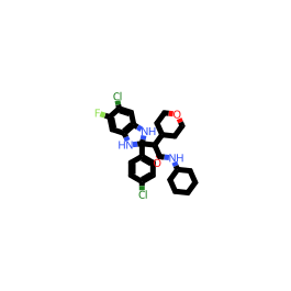 O=C(NC1CCCCC1)C(C1CCOCC1)C1(c2ccc(Cl)cc2)Nc2cc(F)c(Cl)cc2N1